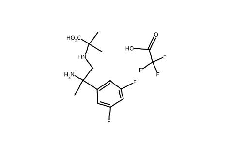 CC(C)(NCC(C)(N)c1cc(F)cc(F)c1)C(=O)O.O=C(O)C(F)(F)F